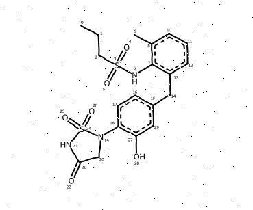 CCCS(=O)(=O)Nc1c(C)cccc1Cc1ccc(N2CC(=O)NS2(=O)=O)c(O)c1